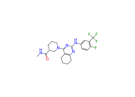 CNC(=O)C1CCCN(c2nc(Nc3ccc(F)c(C(F)(F)F)c3)nc3c2CCCC3)C1